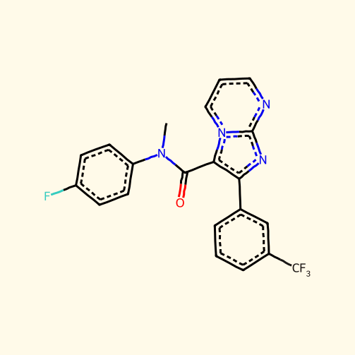 CN(C(=O)c1c(-c2cccc(C(F)(F)F)c2)nc2ncccn12)c1ccc(F)cc1